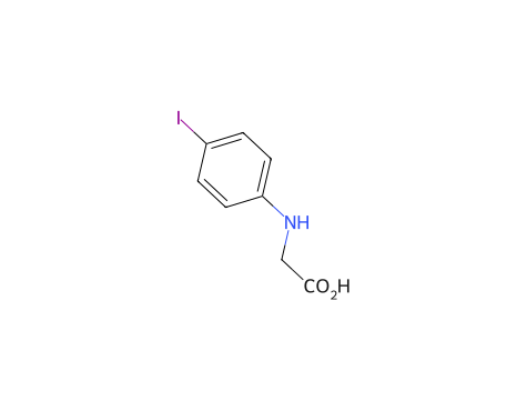 O=C(O)CNc1ccc(I)cc1